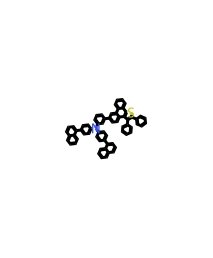 c1ccc(-c2sc3c4ccccc4c4cc(-c5cccc(N(c6ccc(-c7cccc8ccccc78)cc6)c6ccc(-c7cccc8ccccc78)cc6)c5)ccc4c3c2-c2ccccc2)cc1